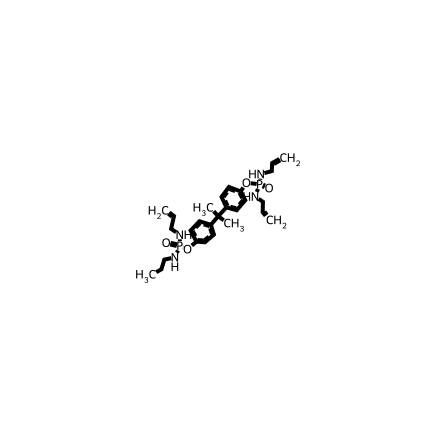 C=CCNP(=O)(NCC=C)Oc1ccc(C(C)(C)c2ccc(OP(=O)(NCC=C)NCCC)cc2)cc1